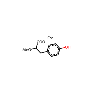 COC(Cc1ccc(O)cc1)C(=O)[O-].[Cs+]